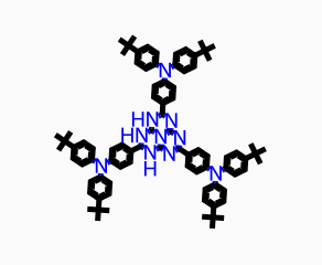 CC(C)(C)c1ccc(N(c2ccc(C3=NC4=NC(c5ccc(N(c6ccc(C(C)(C)C)cc6)c6ccc(C(C)(C)C)cc6)cc5)NC5NC(c6ccc(N(c7ccc(C(C)(C)C)cc7)c7ccc(C(C)(C)C)cc7)cc6)NC(=N3)N45)cc2)c2ccc(C(C)(C)C)cc2)cc1